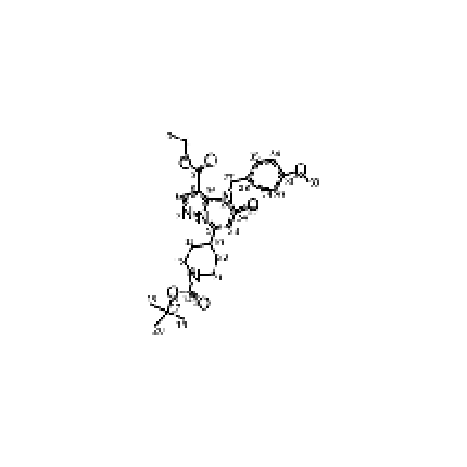 CCOC(=O)c1cnn2c(C3CCN(C(=O)OC(C)(C)C)CC3)cc(=O)n(Cc3ccc(OC)cc3)c12